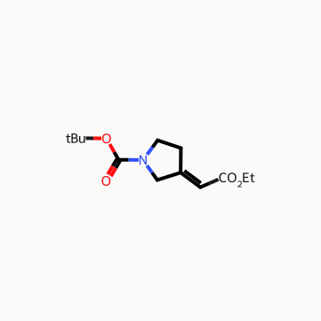 CCOC(=O)/C=C1\CCN(C(=O)OC(C)(C)C)C1